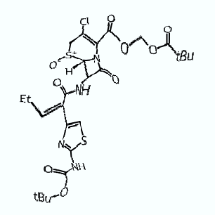 CC/C=C(\C(=O)N[C@@H]1C(=O)N2C(C(=O)OCOC(=O)C(C)(C)C)=C(Cl)C[S+]([O-])[C@@H]12)c1csc(NC(=O)OC(C)(C)C)n1